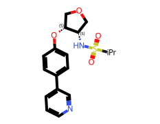 CC(C)S(=O)(=O)N[C@H]1COC[C@H]1Oc1ccc(-c2cccnc2)cc1